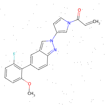 C=CC(=O)n1ccc(-n2cc3cc(-c4c(F)cccc4OC)ccc3n2)c1